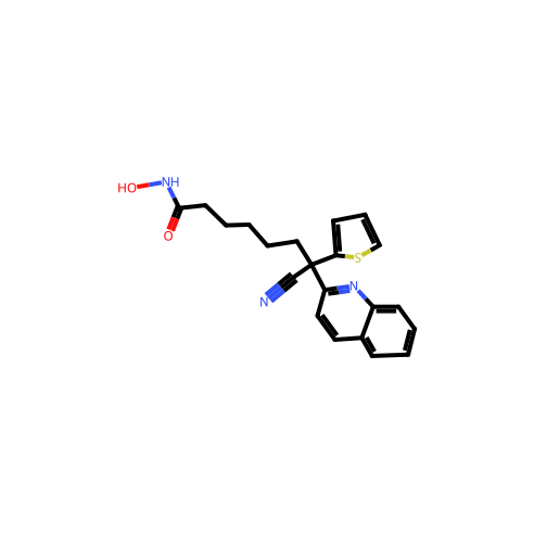 N#CC(CCCCCC(=O)NO)(c1ccc2ccccc2n1)c1cccs1